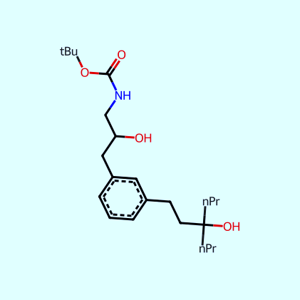 CCCC(O)(CCC)CCc1cccc(CC(O)CNC(=O)OC(C)(C)C)c1